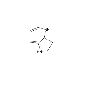 C1=CNC2CCNC2=C1